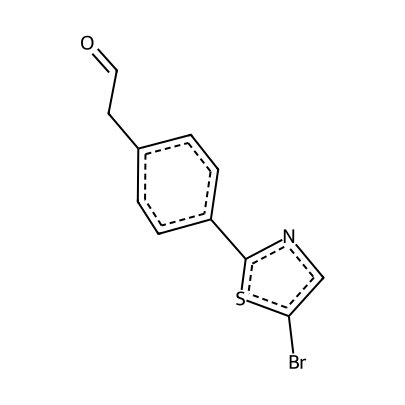 O=CCc1ccc(-c2ncc(Br)s2)cc1